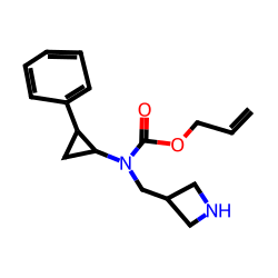 C=CCOC(=O)N(CC1CNC1)C1CC1c1ccccc1